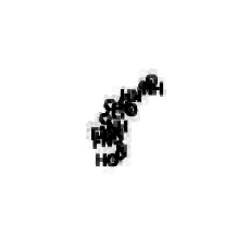 COc1nc(-c2cccc(-c3cccc(Nc4nc(C(F)F)nc5cc(CN6CC[C@@H](O)C6)cnc45)c3C)c2Cl)ccc1CNC[C@@H]1CCC(=O)N1